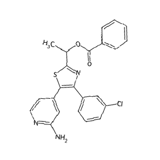 CC(OC(=O)c1ccccc1)c1nc(-c2cccc(Cl)c2)c(-c2ccnc(N)c2)s1